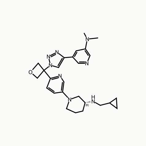 CN(C)c1cncc(-c2cn(C3(c4ccc(N5CCC[C@@H](NCC6CC6)C5)cn4)COC3)nn2)c1